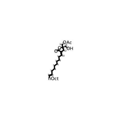 CCCCCCCCC=CCCCCCCCC=C1C[C@@](CO)(COC(C)=O)OC1=O